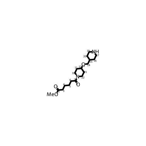 COC(=O)CCCCC(=O)N1CCC(OCC2CCNCC2)CC1